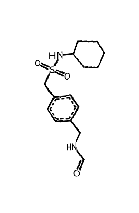 O=CNCc1ccc(CS(=O)(=O)NC2CCCCC2)cc1